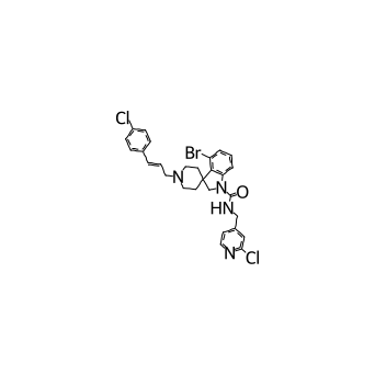 O=C(NCc1ccnc(Cl)c1)N1CC2(CCN(CC=Cc3ccc(Cl)cc3)CC2)c2c(Br)cccc21